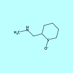 CNCC1CCCC[S+]1[O-]